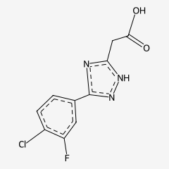 O=C(O)Cc1nc(-c2ccc(Cl)c(F)c2)n[nH]1